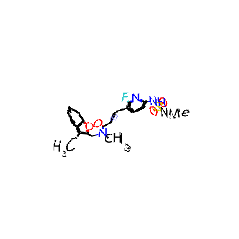 CNS(=O)(=O)Nc1ccc(/C=C/C(=O)N(C)Cc2oc3ccccc3c2C)c(F)n1